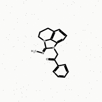 C/N=c1/n(CC(=O)c2ccccc2)c2cccc3c2n1CCC3